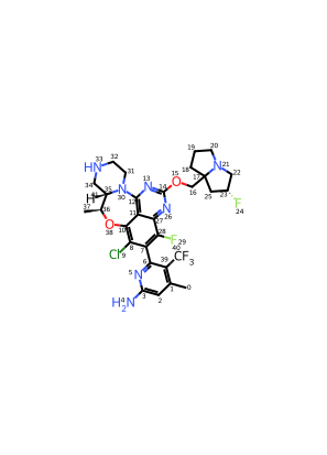 Cc1cc(N)nc(-c2c(Cl)c3c4c(nc(OCC56CCCN5C[C@H](F)C6)nc4c2F)N2CCNC[C@H]2[C@H](C)O3)c1C(F)(F)F